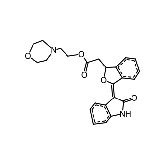 O=C(CC1OC(=C2C(=O)Nc3ccccc32)c2ccccc21)OCCN1CCOCC1